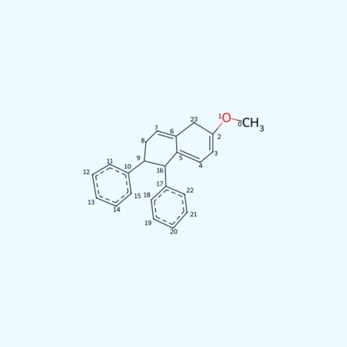 COC1=CC=C2C(=CCC(c3ccccc3)C2c2ccccc2)C1